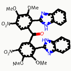 COc1c([N+](=O)[O-])cc(C(=O)c2cc([N+](=O)[O-])c(OC)c(OC)c2-c2nc3ccccc3[nH]2)c(-c2nc3ccccc3[nH]2)c1OC